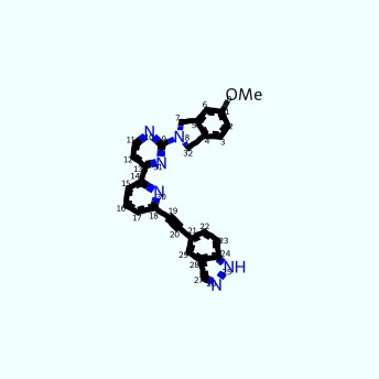 COc1ccc2c(c1)CN(c1nccc(-c3cccc(C#Cc4ccc5[nH]ncc5c4)n3)n1)C2